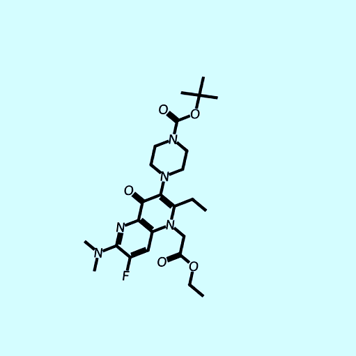 CCOC(=O)Cn1c(CC)c(N2CCN(C(=O)OC(C)(C)C)CC2)c(=O)c2nc(N(C)C)c(F)cc21